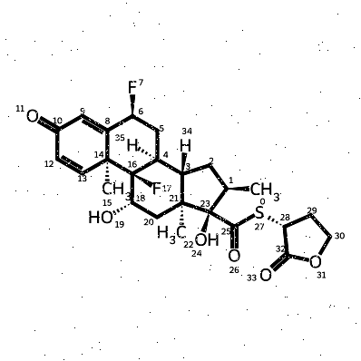 C[C@@H]1C[C@H]2[C@@H]3C[C@H](F)C4=CC(=O)C=C[C@]4(C)[C@@]3(F)[C@@H](O)C[C@]2(C)[C@@]1(O)C(=O)S[C@@H]1CCOC1=O